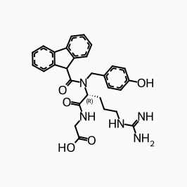 N=C(N)NCCC[C@H](C(=O)NCC(=O)O)N(Cc1ccc(O)cc1)C(=O)C1c2ccccc2-c2ccccc21